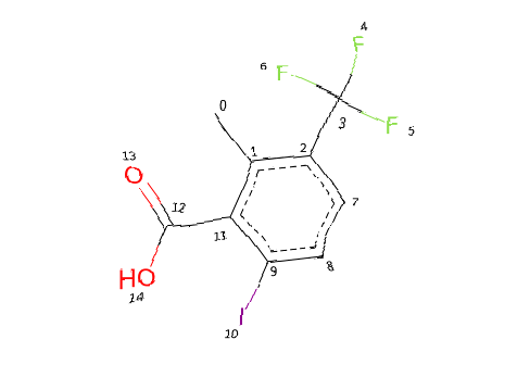 Cc1c(C(F)(F)F)ccc(I)c1C(=O)O